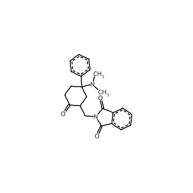 CN(C)C1(c2ccccc2)CCC(=O)C(CN2C(=O)c3ccccc3C2=O)C1